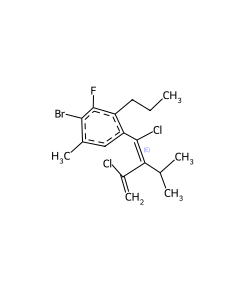 C=C(Cl)/C(=C(/Cl)c1cc(C)c(Br)c(F)c1CCC)C(C)C